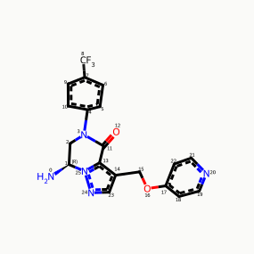 N[C@H]1CN(c2ccc(C(F)(F)F)cc2)C(=O)c2c(COc3ccncc3)cnn21